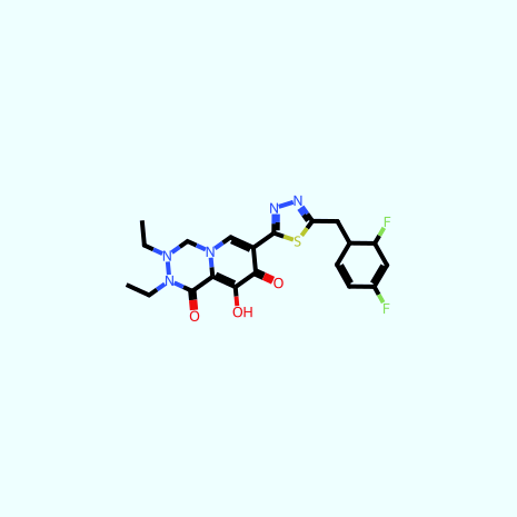 CCN1Cn2cc(-c3nnc(CC4C=CC(F)=CC4F)s3)c(=O)c(O)c2C(=O)N1CC